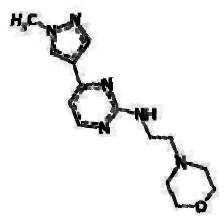 Cn1cc(-c2ccnc(NCCN3CCOCC3)n2)cn1